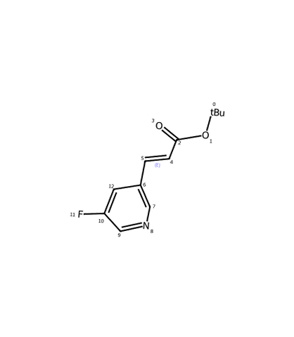 CC(C)(C)OC(=O)/C=C/c1cncc(F)c1